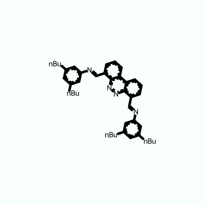 CCCCc1cc(CCCC)cc(/N=C/c2cccc3c2nnc2c(/C=N/c4cc(CCCC)cc(CCCC)c4)cccc23)c1